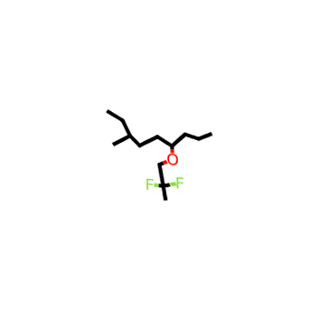 CCCC(CCC(C)CC)OCC(C)(F)F